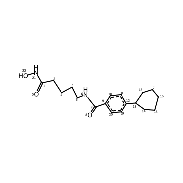 O=C(CCCCNC(=O)c1ccc(C2CCCCC2)cc1)NO